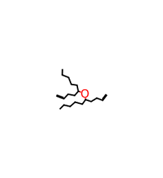 C=CCCC(CCCCC)OC(CCC=C)CCCCC